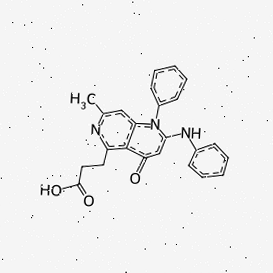 Cc1cc2c(c(CCC(=O)O)n1)c(=O)cc(Nc1ccccc1)n2-c1ccccc1